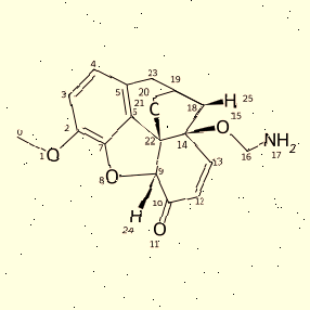 COc1ccc2c3c1O[C@H]1C(=O)C=C[C@@]4(OCN)[C@H](CCC[C@]314)C2